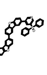 O=P(c1ccccc1)(c1ccccc1)c1cncc(-c2ccc3oc4ccc(-c5ccc6oc7cnccc7c6c5)cc4c3c2)c1